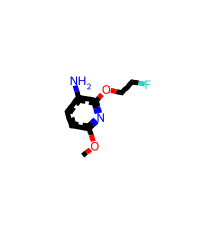 COc1ccc(N)c(OCCF)n1